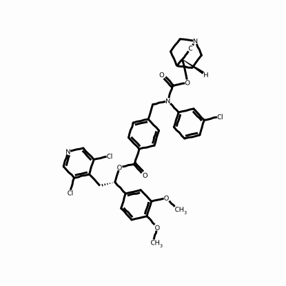 COc1ccc([C@H](Cc2c(Cl)cncc2Cl)OC(=O)c2ccc(CN(C(=O)O[C@H]3CN4CCC3CC4)c3cccc(Cl)c3)cc2)cc1OC